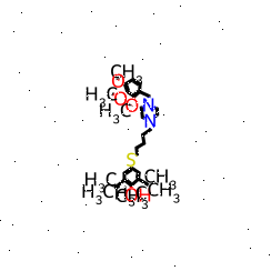 COc1ccc(CN2CCN(CCCCCSc3cc(C(C)(C)C)c(O)c(C(C)(C)C)c3)CC2)c(OC)c1OC